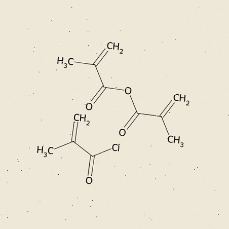 C=C(C)C(=O)Cl.C=C(C)C(=O)OC(=O)C(=C)C